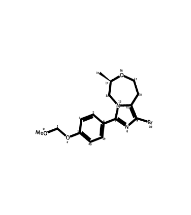 COCOc1ccc(-c2nc(Br)c3n2C[C@@H](C)OCC3)cc1